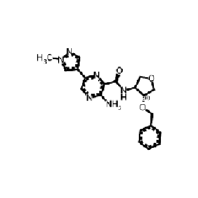 Cn1cc(-c2cnc(N)c(C(=O)NC3COC[C@@H]3OCc3ccccc3)n2)cn1